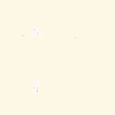 N#Cc1ccnc(OC2CC2)c1